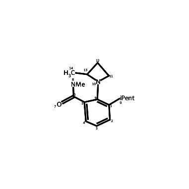 CCCC(C)c1cccc(C(=O)NC)c1N1CCC1C